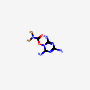 NC1=NC(N)N(OC(=O)N(S)S)C(N)=N1